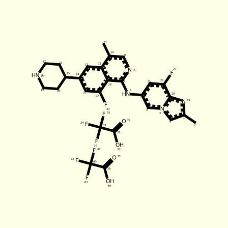 Cc1cn2cc(Nc3ncc(C)c4cc(C5CCNCC5)cc(F)c34)cc(F)c2n1.O=C(O)C(F)(F)F.O=C(O)C(F)(F)F